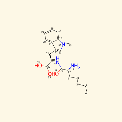 CCCCC[C@H](N)C(=O)N[C@H](Cc1cn(C)c2ccccc12)C(O)O